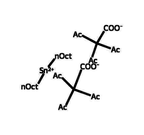 CC(=O)C(C(C)=O)(C(C)=O)C(=O)[O-].CC(=O)C(C(C)=O)(C(C)=O)C(=O)[O-].CCCCCCC[CH2][Sn+2][CH2]CCCCCCC